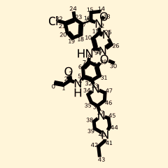 C=CC(=O)Nc1cc(Nc2cc(N3OCC[C@@H]3c3cccc(Cl)c3C)ncn2)c(OC)cc1N1CCC(N2CCN(CCC)CC2)CC1